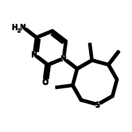 CC1CCSCC(C)C(n2ccc(N)nc2=O)C1C